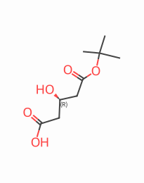 CC(C)(C)OC(=O)C[C@H](O)CC(=O)O